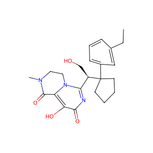 CCc1cccc(C2([C@H](CO)c3nc(=O)c(O)c4n3CCN(C)C4=O)CCCC2)c1